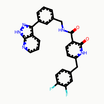 O=C(NCc1cccc(-c2n[nH]c3ncccc23)c1)c1ccc(Cc2ccc(F)c(F)c2)[nH]c1=O